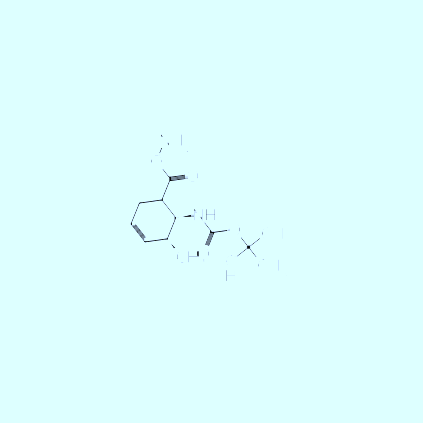 C[C@H]1C=CCC(C(=O)ON)[C@H]1NC(=O)OC(C)(C)C